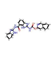 O=C(Nc1nc2cccc(C(=O)Nc3nc4ccccc4[nH]3)c2[nH]1)Oc1cc2ccccc2cn1